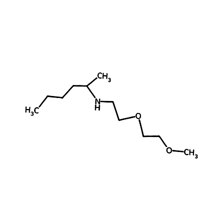 CCCCC(C)NCCOCCOC